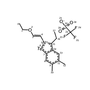 CCOC=C[n+]1[te]c2cc(C)c(C)cc2c1CC.O=S(=O)([O-])C(F)(F)F